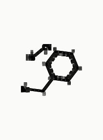 N#CS.[Na][CH2]c1ccccc1